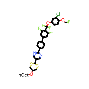 CCCCCCCCOC1CSC(c2cnc(-c3ccc(-c4cc(F)c(C(F)(F)Oc5ccc(OCF)c(Cl)c5)c(F)c4)cc3)nc2)SC1